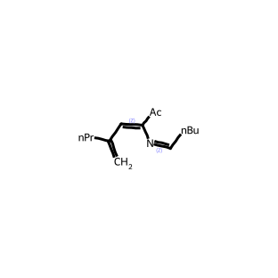 C=C(/C=C(\N=C/CCCC)C(C)=O)CCC